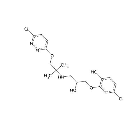 CC(C)(COc1ccc(Cl)nn1)NCC(O)COc1cc(Cl)ccc1C#N